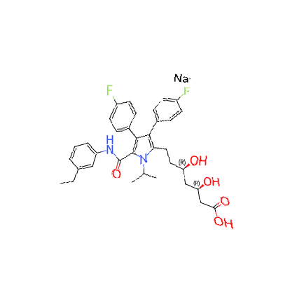 CCc1cccc(NC(=O)c2c(-c3ccc(F)cc3)c(-c3ccc(F)cc3)c(CC[C@@H](O)C[C@@H](O)CC(=O)O)n2C(C)C)c1.[Na]